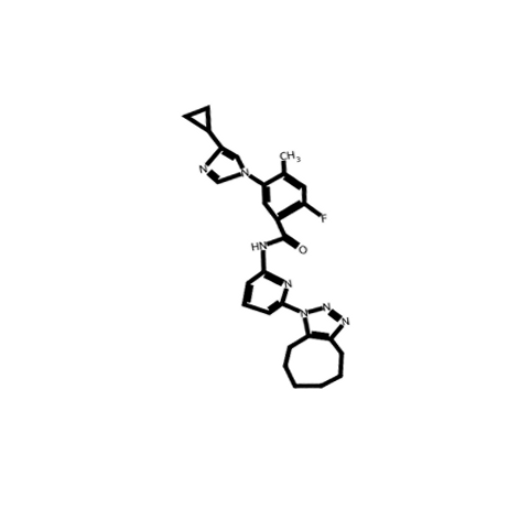 Cc1cc(F)c(C(=O)Nc2cccc(-n3nnc4c3CCCCCC4)n2)cc1-n1cnc(C2CC2)c1